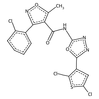 Cc1onc(-c2ccccc2Cl)c1C(=O)Nc1nnc(-c2cc(Cl)sc2Cl)o1